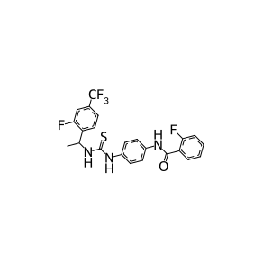 CC(NC(=S)Nc1ccc(NC(=O)c2ccccc2F)cc1)c1ccc(C(F)(F)F)cc1F